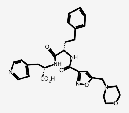 O=C(N[C@@H](CCc1ccccc1)C(=O)N[C@@H](Cc1ccncc1)C(=O)O)c1cc(CN2CCOCC2)on1